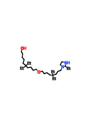 CCC1NCCN1CCCC(CC)(CC)CCCCOCCCCC(CC)(CC)CCCCCO